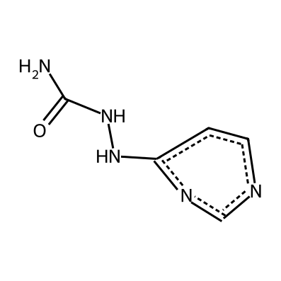 NC(=O)NNc1ccncn1